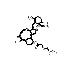 CC[C@]1(O)C(/C=C2\NCc3c4cc(c(C)c(F)ccnc32)CC[C@@H]4NC(=O)COCNC)=C(C)COC1O